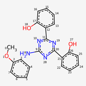 COc1ccccc1.Nc1nc(-c2ccccc2O)nc(-c2ccccc2O)n1